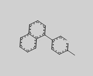 Cc1ccc(-c2cccc3ccccc23)cn1